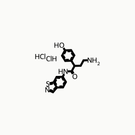 Cl.Cl.NCCC(C(=O)Nc1ccc2cnsc2c1)c1ccc(O)cc1